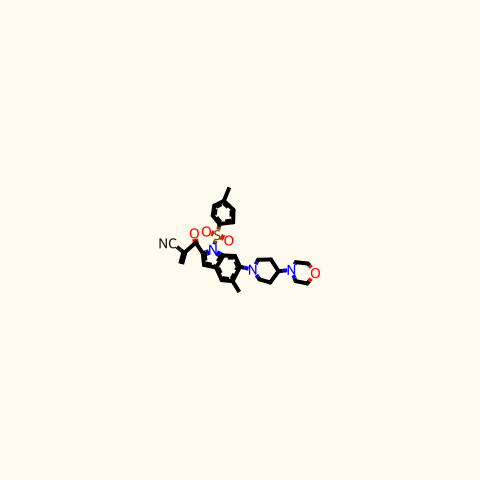 C=C(C#N)C(=O)c1cc2cc(C)c(N3CCC(N4CCOCC4)CC3)cc2n1S(=O)(=O)c1ccc(C)cc1